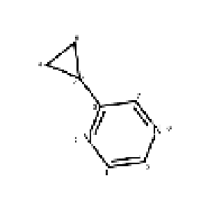 c1cnc([C]2CC2)cn1